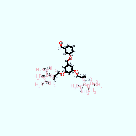 BB(B)B(B)B(B(B)B)B1C=C1COc1cc(COc2cccc(C=O)c2)cc(OCC2=CB2B(B(B)B)B(B)B(B)B)c1